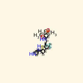 COc1cc(P(C)(C)=O)ccc1NCC#Cc1sc2c(NC3C4CCC3CNC4)cccc2c1CC(F)(F)F